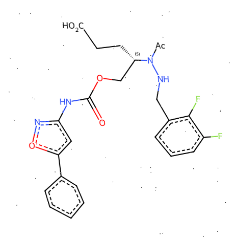 CC(=O)N(NCc1cccc(F)c1F)[C@@H](CCC(=O)O)COC(=O)Nc1cc(-c2ccccc2)on1